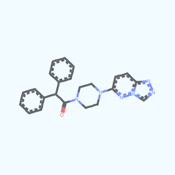 O=C(C(c1ccccc1)c1ccccc1)N1CCN(c2ccc3nncn3n2)CC1